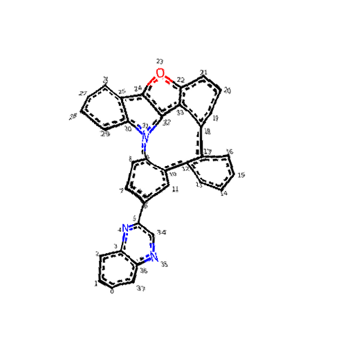 c1ccc2nc(-c3ccc4c(c3)c3ccccc3c3cccc5oc6c7ccccc7n4c6c53)cnc2c1